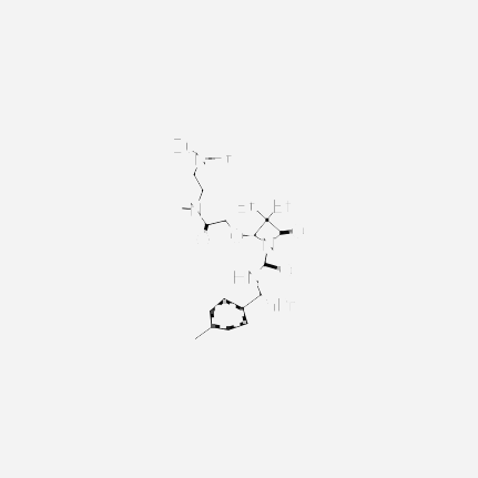 CCC[C@@H](NC(=O)N1C(=O)C(CC)(CC)[C@@H]1O[C@@H](C)C(=O)N(C)CCN(CC)CC)c1ccc(C)cc1